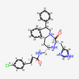 O=C(/C=C/c1ccc(Cl)cc1)NC[C@@H]1CCN(CC(c2ccccc2)c2ccccc2)C(=O)[C@H](Cc2c[nH]cn2)N1